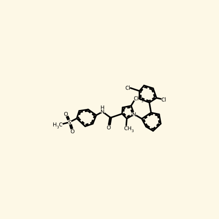 Cc1cc(C(=O)Nc2ccc(S(C)(=O)=O)cc2)c(C)n1-c1ccccc1-c1cc(Cl)ccc1Cl